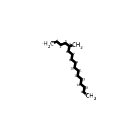 [CH2]CCCC(C)CCCCCCCCCCCC